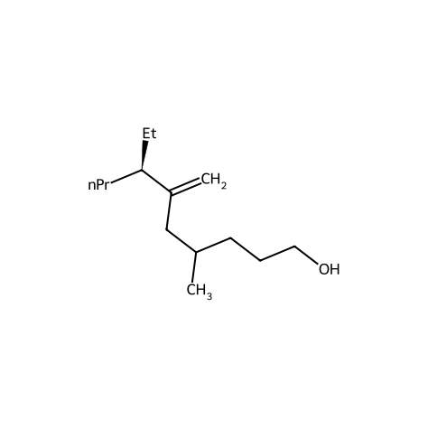 C=C(CC(C)CCCO)[C@H](CC)CCC